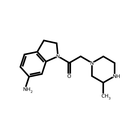 CC1CN(CC(=O)N2CCc3ccc(N)cc32)CCN1